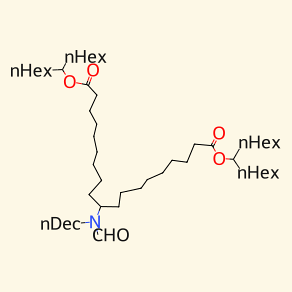 CCCCCCCCCCN(C=O)C(CCCCCCCCC(=O)OC(CCCCCC)CCCCCC)CCCCCCCCC(=O)OC(CCCCCC)CCCCCC